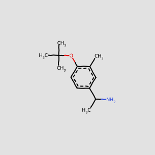 Cc1cc(C(C)N)ccc1OC(C)(C)C